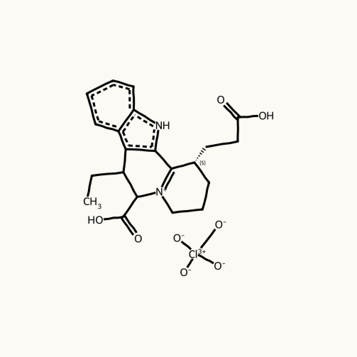 CCC1c2c([nH]c3ccccc23)C2=[N+](CCC[C@H]2CCC(=O)O)C1C(=O)O.[O-][Cl+3]([O-])([O-])[O-]